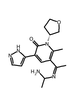 C/C(=N/C(C)N)c1cc(-c2ccn[nH]2)c(=O)n([C@@H]2CCOC2)c1C